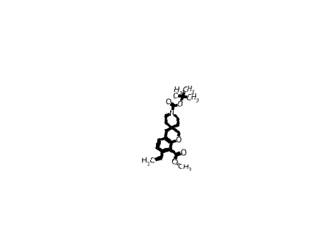 C=Cc1ccc2c(c1C(=O)OC)OCC1(CCN(C(=O)OC(C)(C)C)CC1)C2